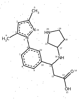 Cc1cc(C)n(-c2cccc(C(CC(=O)O)NC3CCNC3)c2)n1